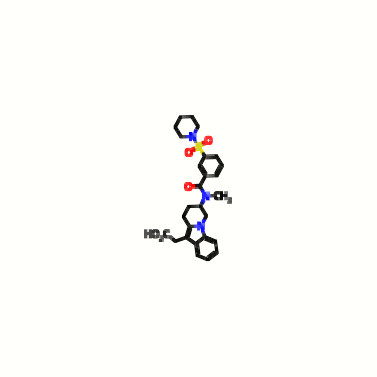 CN(C(=O)c1cccc(S(=O)(=O)N2CCCCC2)c1)[C@@H]1CCc2c(CC(=O)O)c3ccccc3n2C1